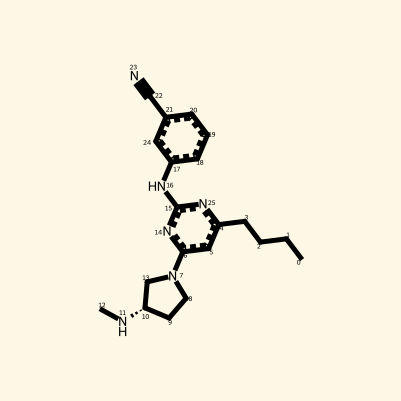 CCCCc1cc(N2CC[C@H](NC)C2)nc(Nc2cccc(C#N)c2)n1